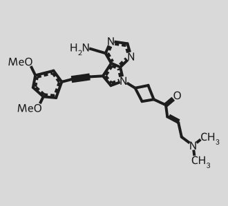 COc1cc(C#Cc2cn(C3CC(C(=O)/C=C/CN(C)C)C3)c3ncnc(N)c23)cc(OC)c1